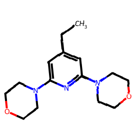 CCc1cc(N2CCOCC2)nc(N2CCOCC2)c1